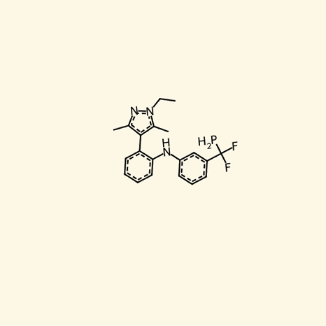 CCn1nc(C)c(-c2ccccc2Nc2cccc(C(F)(F)P)c2)c1C